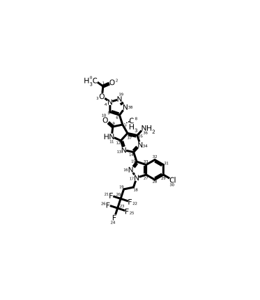 CC(=O)On1cc([C@]2(C)C(=O)Nc3nc(-c4nn(CCC(F)(F)C(F)(F)F)c5cc(Cl)ccc45)nc(N)c32)nn1